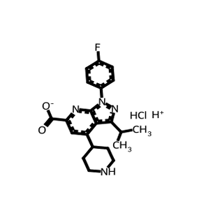 CC(C)c1nn(-c2ccc(F)cc2)c2nc(C(=O)[O-])cc(C3CCNCC3)c12.Cl.[H+]